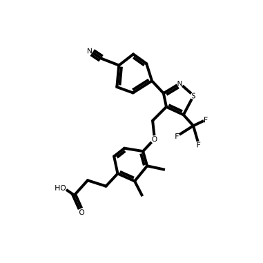 Cc1c(CCC(=O)O)ccc(OCc2c(-c3ccc(C#N)cc3)nsc2C(F)(F)F)c1C